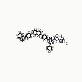 C=C/C=C(\C=C)c1nc(-c2ccccc2)nc(-c2ccc(-c3ccc4ccc(-c5ccc(-n6cnc7ccccc76)cc5)cc4c3)cc2)n1